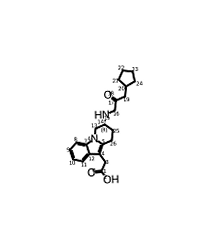 O=C(O)Cc1c2n(c3ccccc13)C[C@H](NCC(=O)CC1CCCC1)CC2